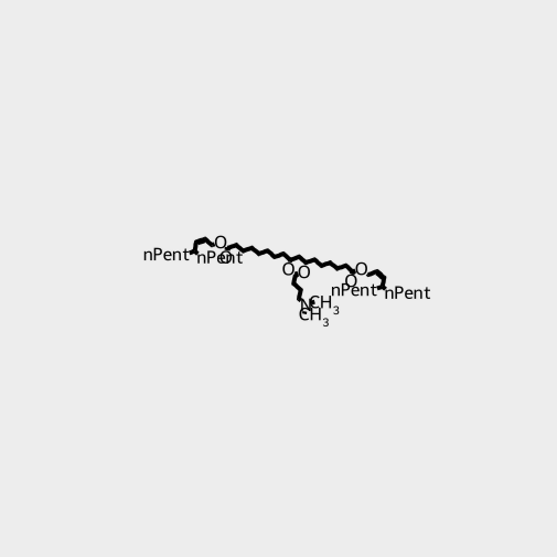 CCCCCC(/C=C\COC(=O)CCCCCCCC(CCCCCCCC(=O)OC/C=C\C(CCCCC)CCCCC)OC(=O)CCCN(C)C)CCCCC